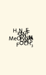 COC(=O)OC1=C(CN2CC(F)(F)CC2C(N)=O)NC(c2nccs2)=N[C@@]1(C)c1ccc(F)cc1